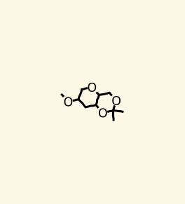 COC1COC2COC(C)(C)OC2C1